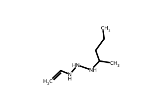 C=CNNNC(C)CCC